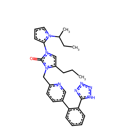 CCCc1cn(-c2cccn2C(C)CC)c(=O)n1Cc1ccc(-c2ccccc2-c2nnn[nH]2)cn1